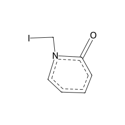 O=c1ccccn1CI